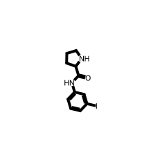 O=C(Nc1cccc(I)c1)C1CCCN1